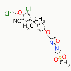 CC(C)(c1ccc(OCc2coc(N3CC(S(C)(=O)=O)C3)n2)cc1)c1cc(Cl)c(OCCCl)c(C#N)c1